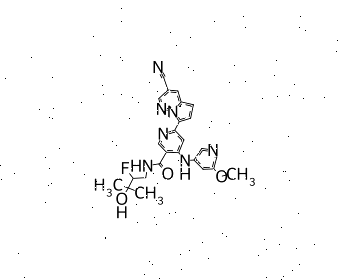 COc1cncc(Nc2cc(-c3ccc4cc(C#N)cnn34)ncc2C(=O)NCC(F)C(C)(C)O)c1